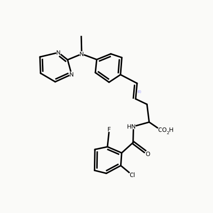 CN(c1ccc(/C=C/CC(NC(=O)c2c(F)cccc2Cl)C(=O)O)cc1)c1ncccn1